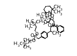 COC(=O)C(C)(CC(CC(C)c1ccc(CP(=O)(OCC[Si](C)(C)C)OCC[Si](C)(C)C)cc1)c1ccccc1)ON1C(C)(C)CCCC1(C)C